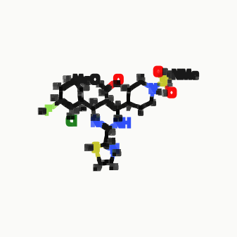 CNS(=O)(=O)N1CCC(C2=C(C(=O)OC)C(c3cccc(F)c3Cl)N=C(c3nccs3)N2)CC1